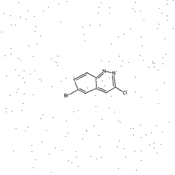 Clc1cc2cc(Br)ccc2nn1